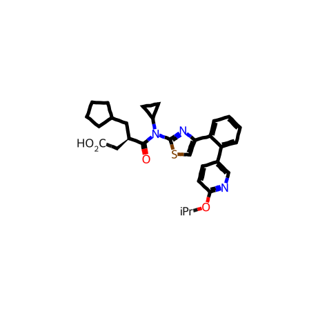 CC(C)Oc1ccc(-c2ccccc2-c2csc(N(C(=O)[C@@H](CC(=O)O)CC3CCCC3)C3CC3)n2)cn1